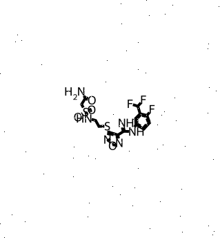 N=C(Nc1ccc(F)c(C(F)F)c1)c1nonc1SCCNS(=O)(=O)CC(N)=O